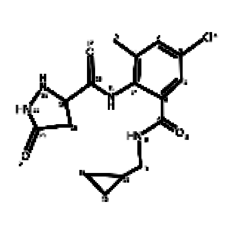 Cc1cc(Cl)cc(C(=O)NCC2CC2)c1NC(=O)C1CC(=O)NN1